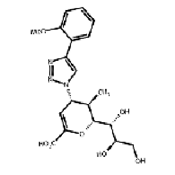 COc1ccccc1-c1cn([C@H]2C=C(C(=O)O)O[C@@H]([C@H](O)[C@H](O)CO)[C@@H]2C)nn1